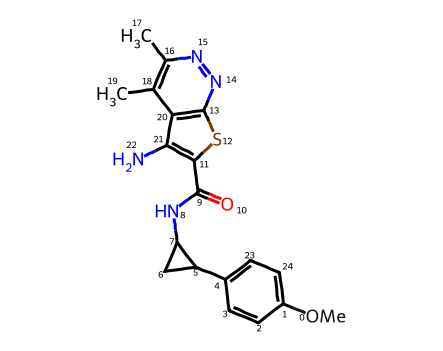 COc1ccc(C2CC2NC(=O)c2sc3nnc(C)c(C)c3c2N)cc1